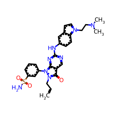 C=CCn1c(=O)c2cnc(Nc3ccc4c(ccn4CCN(C)C)c3)nc2n1-c1cccc(S(N)(=O)=O)c1